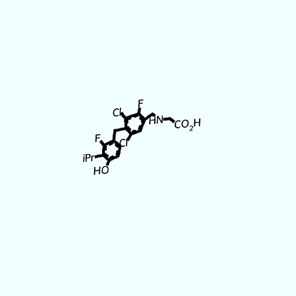 CC(C)c1c(O)ccc(Cc2c(Cl)cc(CNCC(=O)O)c(F)c2Cl)c1F